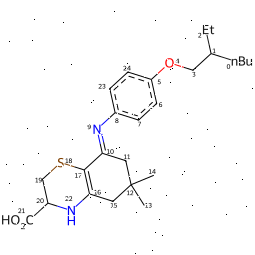 CCCCC(CC)COc1ccc(/N=C2\CC(C)(C)CC3=C2SCC(C(=O)O)N3)cc1